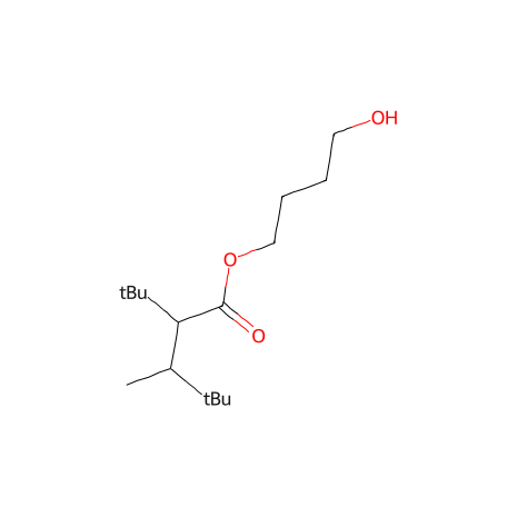 CC(C(C(=O)OCCCCO)C(C)(C)C)C(C)(C)C